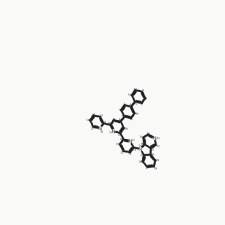 c1ccc(-c2ccc(-c3cc(-c4ccccn4)nc(-c4cccc(-n5c6ccccc6c6cnccc65)n4)c3)cc2)cc1